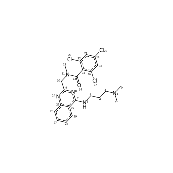 CN(C)CCCNc1nc(CN(C)C(=O)c2c(Cl)cc(Cl)cc2Cl)nc2ccccc12